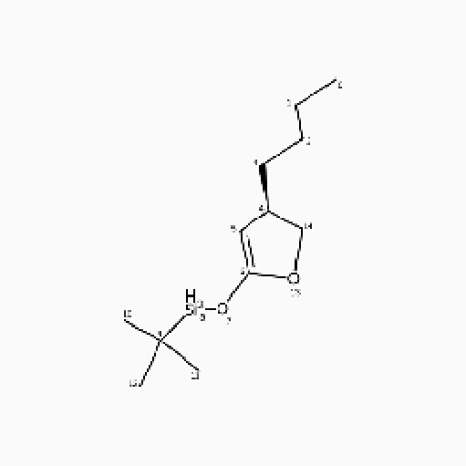 CCCC[C@@H]1C=C(O[SiH2]C(C)(C)C)OC1